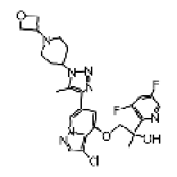 Cc1c(-c2cc(OCC(C)(O)c3ncc(F)cc3F)c3c(Cl)cnn3c2)nnn1C1CCN(C2COC2)CC1